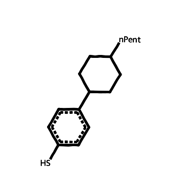 CCCCCC1CCC(c2ccc(S)cc2)CC1